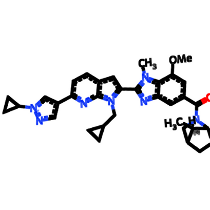 COc1cc(C(=O)N2CC3CCC2[C@@H]3C)cc2nc(-c3cc4ccc(-c5cnn(C6CC6)c5)nc4n3CC3CC3)n(C)c12